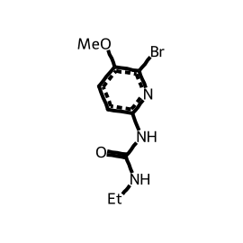 CCNC(=O)Nc1ccc(OC)c(Br)n1